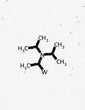 CC(C)N(C(C)C)[CH](C)[W]